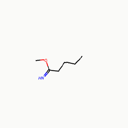 CCCCC(=N)OC